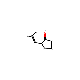 CC(C)=CC1[CH]CCC1=O